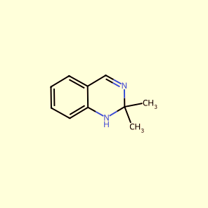 CC1(C)N=Cc2ccccc2N1